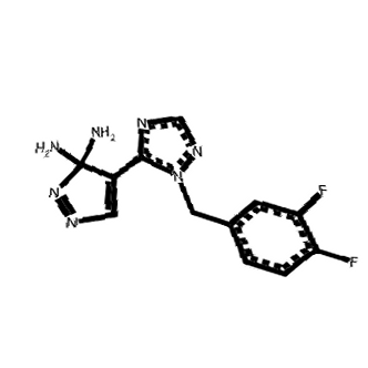 NC1(N)N=NC=C1c1ncnn1Cc1ccc(F)c(F)c1